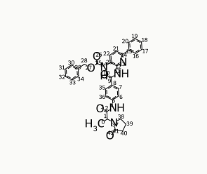 CC(C(=O)Nc1ccc(C(=O)Nc2nc(-c3ccccc3)ccc2NC(=O)OCc2ccccc2)cc1)N1CCCC1=O